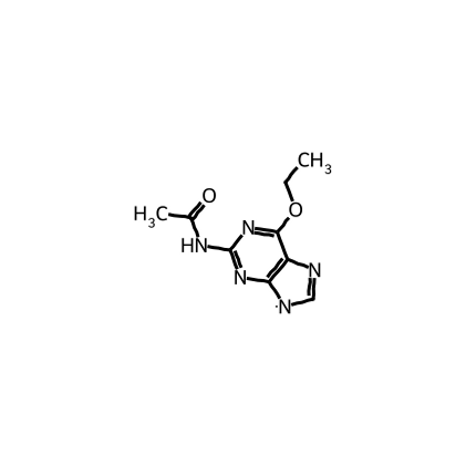 CCOc1nc(NC(C)=O)nc2c1N=C[N]2